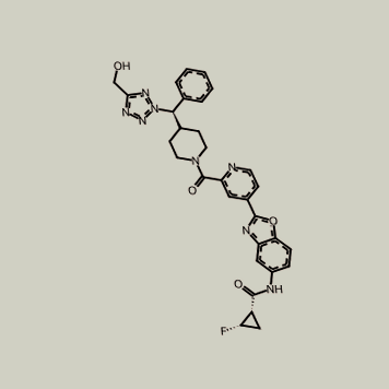 O=C(Nc1ccc2oc(-c3ccnc(C(=O)N4CCC([C@H](c5ccccc5)n5nnc(CO)n5)CC4)c3)nc2c1)[C@@H]1C[C@@H]1F